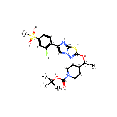 C[C@H](Oc1nn2cc(-c3ccc(S(C)(=O)=O)cc3F)nc2s1)C1CCN(C(=O)OC(C)(C)C)CC1